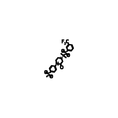 CC(C)([C@H]1CCN(c2ccc(S(C)(=O)=O)cc2)C(=O)C1)S(=O)(=O)c1cccc(C(F)(F)F)c1